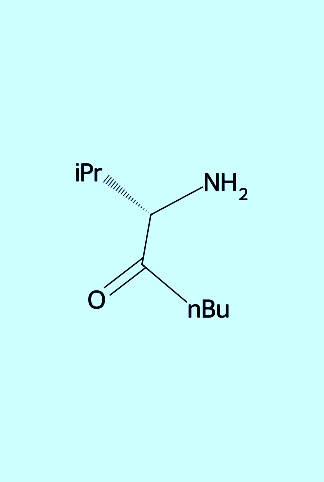 CCCCC(=O)[C@@H](N)C(C)C